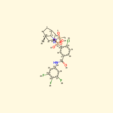 CS(=O)(=O)NC1C2CC[C@H]1C[C@H](S(=O)(=O)c1cc(C(=O)Nc3cc(F)c(F)c(F)c3)ccc1Cl)C2